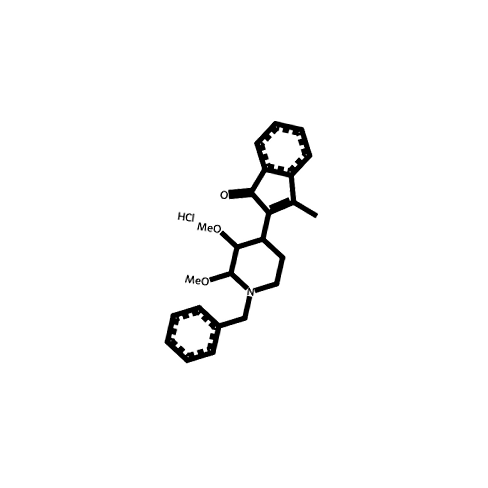 COC1C(C2=C(C)c3ccccc3C2=O)CCN(Cc2ccccc2)C1OC.Cl